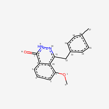 COc1cccc2c(=O)[nH]nc(Cc3ccc(C)cc3)c12